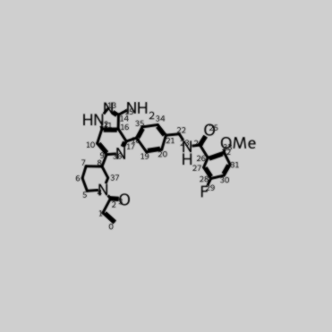 C=CC(=O)N1CCCC(c2cc3[nH]nc(N)c3c(-c3ccc(CNC(=O)c4cc(F)ccc4OC)cc3)n2)C1